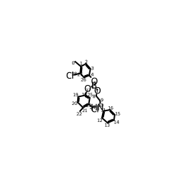 Cc1ccc(OB(OCCNc2ccccc2)Oc2ccc(C)c(Cl)c2)cc1Cl